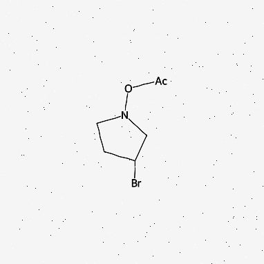 CC(=O)ON1CCC(Br)C1